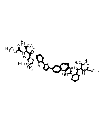 COC(=O)NC(C(=O)C1CCCC[C@H]1c1nc2ccc3cc(-c4ccc(C5=CC=C=C([C@@H]6C[Si](C)(C)CN6C(=O)[C@@H](NC(=O)OC)C(C)C)N5)s4)ccc3c2[nH]1)C(C)C